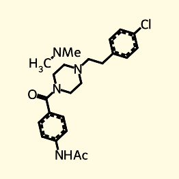 CC(=O)Nc1ccc(C(=O)N2CCN(CCc3ccc(Cl)cc3)CC2)cc1.CNC